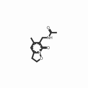 CC(=O)NCc1c(C)cc2n(c1=O)OCC2